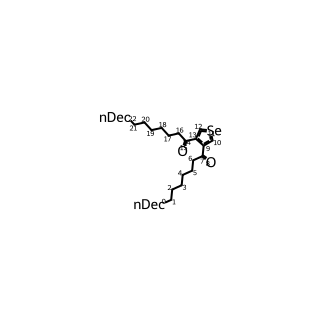 CCCCCCCCCCCCCCCCC(=O)c1c[se]cc1C(=O)CCCCCCCCCCCCCCCC